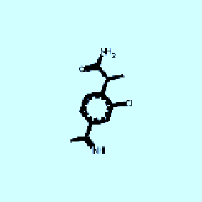 CC(=N)c1ccc(C(C)C(N)=O)c(Cl)c1